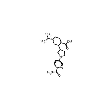 CC(C)N1CCN(C(=O)O)C(C2CCN(c3ccc(C(N)=O)nc3)C2)C1